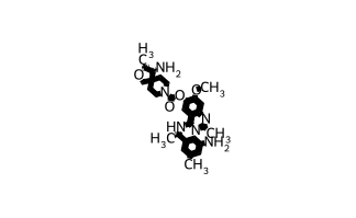 COc1cc2nc(C)nc(N[C@H](C)c3cc(C)cc(N)c3)c2cc1OC(=O)N1CCC2(CC1)CO[C@H](C)[C@@H]2N